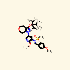 COc1ccc(CN(c2cc(-n3nc(O[Si](C(C)C)(C(C)C)C(C)C)c4c3CCOCC4)cnc2OC)S(C)(=O)=O)cc1